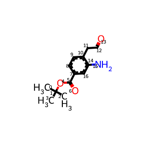 CC(C)(C)OC(=O)c1ccc(CC=O)c(N)c1